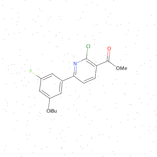 COC(=O)c1ccc(-c2cc(F)cc(OCC(C)C)c2)nc1Cl